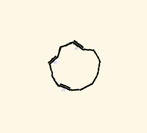 C1=C\CCCCC/C=C/C/C=C/C/1